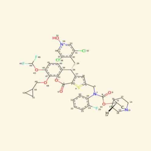 O=C([O-])c1sc(CN(C(=O)O[C@H]2CN3CCC2CC3)c2ccccc2F)cc1[C@@H](Cc1c(Cl)c[n+](O)cc1Cl)c1ccc(OC(F)F)c(OCC2CC2)c1